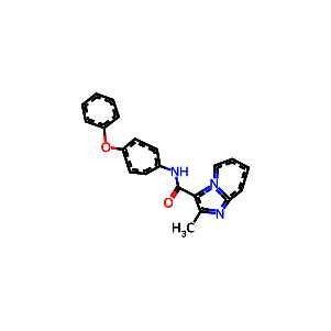 Cc1nc2ccccn2c1C(=O)Nc1ccc(Oc2ccccc2)cc1